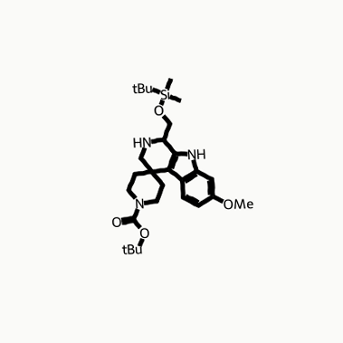 COc1ccc2c3c([nH]c2c1)C(CO[Si](C)(C)C(C)(C)C)NCC31CCN(C(=O)OC(C)(C)C)CC1